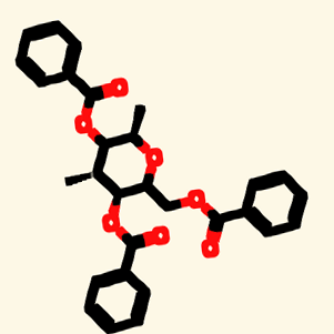 C[C@@H]1C(OC(=O)c2ccccc2)[C@@H](C)OC(COC(=O)c2ccccc2)[C@H]1OC(=O)c1ccccc1